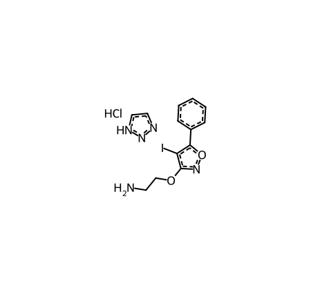 Cl.NCCOc1noc(-c2ccccc2)c1I.c1c[nH]nn1